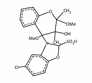 COC1(C)Oc2ccccc2C(OC)(N2c3cc(Cl)ccc3OC2S(=O)(=O)O)C1(C)O